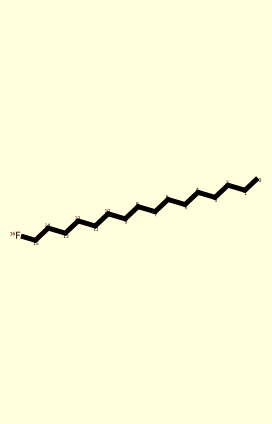 CCCCCCCCCCCCCCCCF